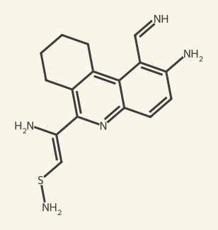 N=Cc1c(N)ccc2nc(/C(N)=C/SN)c3c(c12)CCCC3